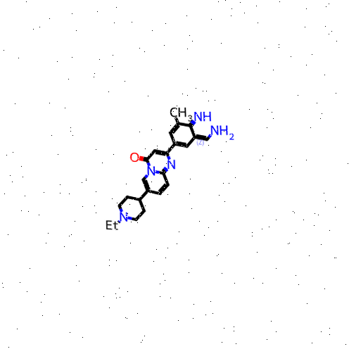 CCN1CCC(c2ccc3nc(C4=C/C(=C/N)C(=N)C(C)=C4)cc(=O)n3c2)CC1